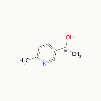 Cc1ccc([C@@H](C)O)cn1